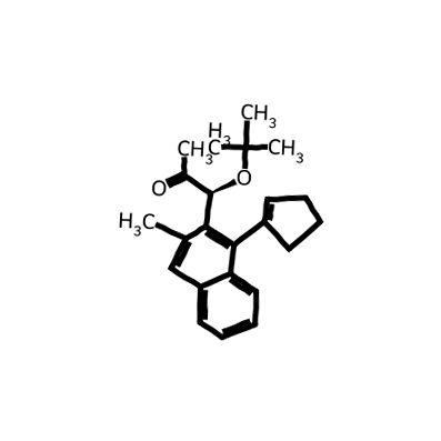 CC(=O)[C@@H](OC(C)(C)C)c1c(C)cc2ccccc2c1C1=CCCC1